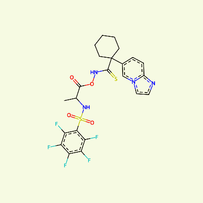 CC(NS(=O)(=O)c1c(F)c(F)c(F)c(F)c1F)C(=O)ONC(=S)C1(c2ccc3nccn3c2)CCCCC1